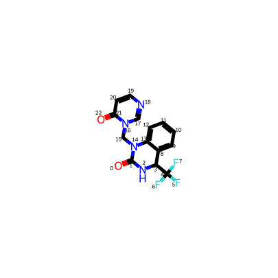 O=C1NC(C(F)(F)F)c2ccccc2N1Cn1cnccc1=O